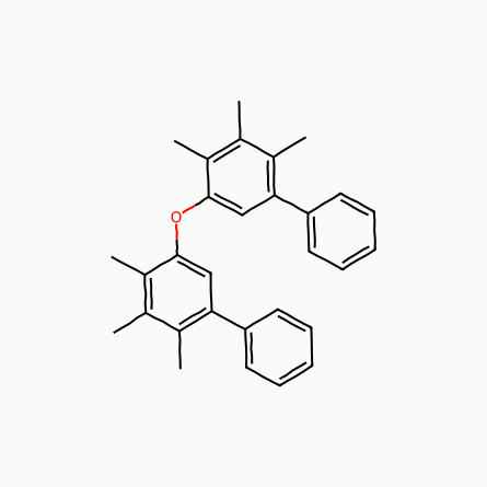 Cc1c(Oc2cc(-c3ccccc3)c(C)c(C)c2C)cc(-c2ccccc2)c(C)c1C